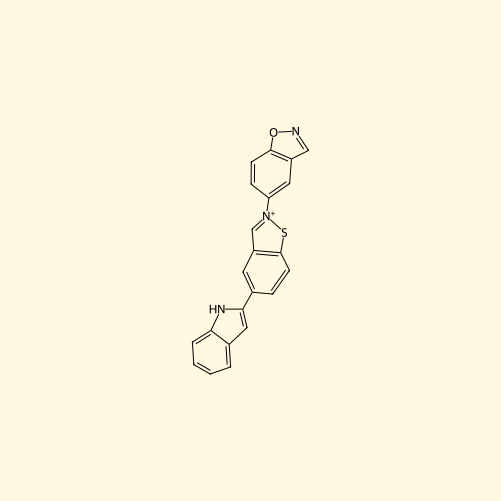 c1ccc2[nH]c(-c3ccc4s[n+](-c5ccc6oncc6c5)cc4c3)cc2c1